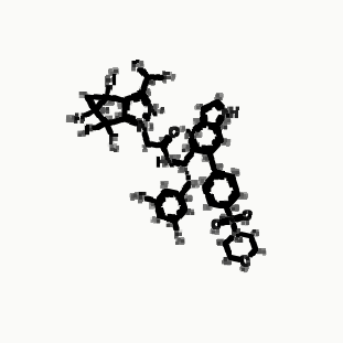 O=C(Cn1nc(C(F)F)c2c1C(F)(F)[C@@H]1C[C@H]21)N[C@@H](Cc1cc(F)cc(F)c1)c1nc2cc[nH]c2cc1-c1ccc(S(=O)(=O)N2CCOCC2)cc1